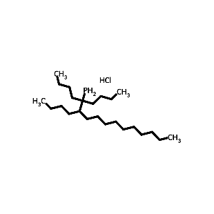 CCCCCCCCCCC(CCCC)C(P)(CCCC)CCCC.Cl